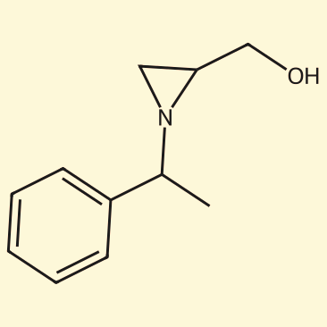 CC(c1ccccc1)N1CC1CO